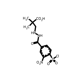 CC(C)(CNNC(=O)c1ccc(S(=O)(=O)Cl)c([N+](=O)[O-])c1)C(=O)O